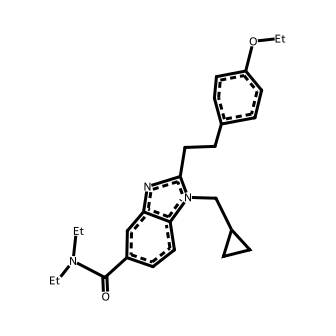 CCOc1ccc(CCc2nc3cc(C(=O)N(CC)CC)ccc3n2CC2CC2)cc1